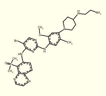 COc1cc(N2CCC(NCCN)CC2)c(C)cc1Nc1ncc(Br)c(Nc2ccc3nccnc3c2P(C)(C)=O)n1